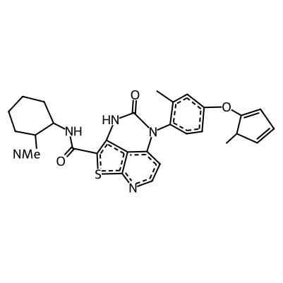 CNC1CCCCC1NC(=O)c1sc2nccc3c2c1NC(=O)N3c1ccc(OC2=CC=CC2C)cc1C